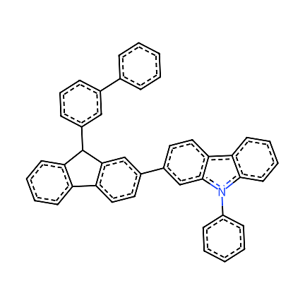 c1ccc(-c2cccc(C3c4ccccc4-c4ccc(-c5ccc6c7ccccc7n(-c7ccccc7)c6c5)cc43)c2)cc1